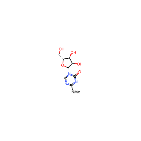 CNc1ncn([C@@H]2O[C@H](CO)[C@@H](O)[C@H]2O)c(=O)n1